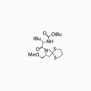 COC[C@@H]1CC2(CN1C(=O)C(NC(=O)OCC(C)C)C(C)(C)C)SCCCS2